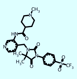 CN1CCC(C(=O)Nc2cnccc2CN2C(=O)N(c3ccc(S(=O)(=O)C(F)(F)F)cc3)C(=O)C2(C)C)CC1